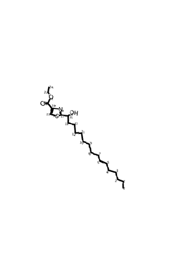 CCCCCCCCCCCCCCCC(O)c1nc(C(=O)OCC)cs1